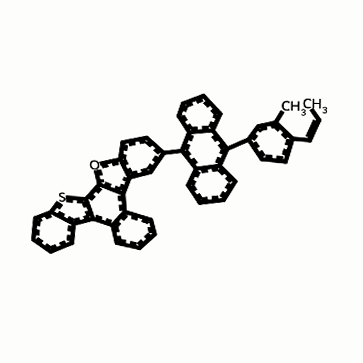 C/C=C\c1ccc(-c2c3ccccc3c(-c3ccc4oc5c6sc7ccccc7c6c6ccccc6c5c4c3)c3ccccc23)cc1C